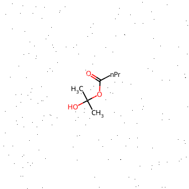 CCCC(=O)OC(C)(C)O